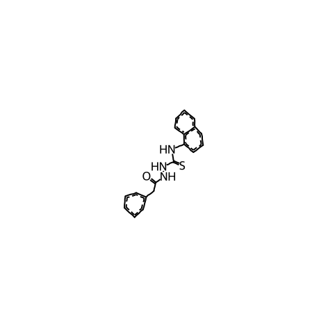 O=C(Cc1ccccc1)NNC(=S)Nc1cccc2ccccc12